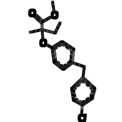 CCC(C)(Oc1ccc(Cc2ccc(Cl)cc2)cc1)C(=O)OC